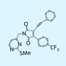 CSc1nccc(CN2C(=O)C(C#Cc3ccccc3)=C(c3ccc(C(F)(F)F)cc3)C2=O)n1